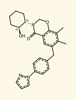 Cc1c(Cc2ccc(-n3cccn3)cc2)cc2c(c1C)OCN([C@H]1CCCC[C@@H]1O)C2=O